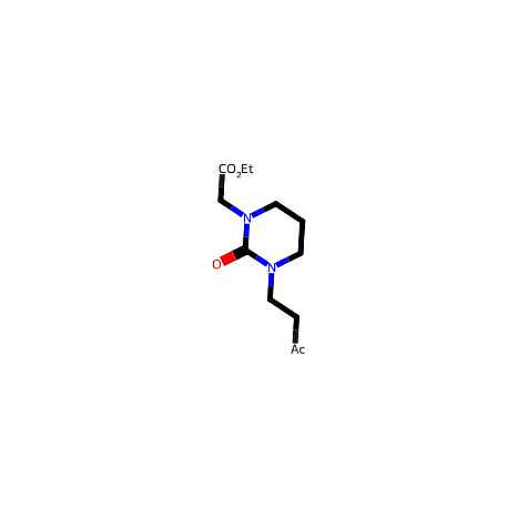 CCOC(=O)CN1CCCN(CCC(C)=O)C1=O